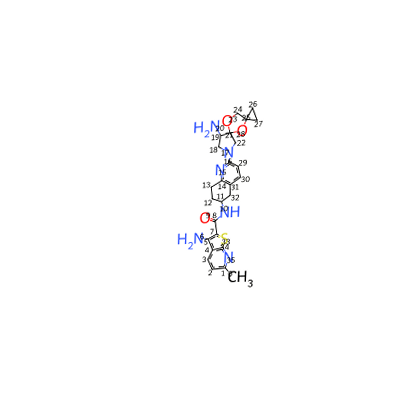 Cc1ccc2c(N)c(C(=O)NC3CCc4nc(N5CC(N)C6(C5)OCC5(CC5)O6)ccc4C3)sc2n1